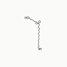 CC(C)CCCCCCCCCCCCCCC(=O)OCCCCCO